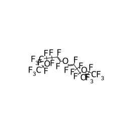 FC(OC(F)=C(F)C(F)(F)C(F)(OC(F)(F)C(F)(F)F)C(F)(F)F)=C(F)C(F)(F)C(F)(OC(F)(F)C(F)(F)F)C(F)(F)F